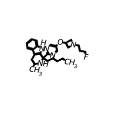 CCCCCC1(c2ncc(OC3CN(CCCF)C3)cn2)NC(C)Cc2c1[nH]c1ccccc21